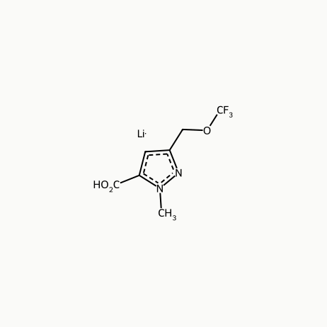 Cn1nc(COC(F)(F)F)cc1C(=O)O.[Li]